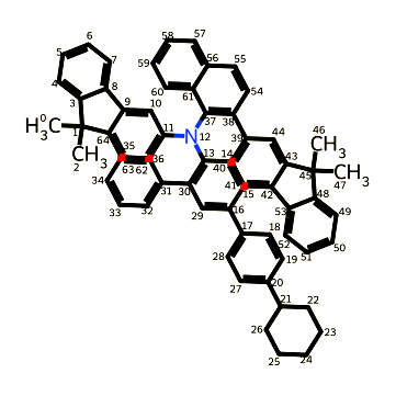 CC1(C)c2ccccc2-c2cc(N(c3ccc(-c4ccc(C5CCCCC5)cc4)cc3-c3ccccc3)c3c(-c4ccc5c(c4)C(C)(C)c4ccccc4-5)ccc4ccccc34)ccc21